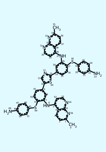 Cc1ccc2c(Nc3cc(-c4cnc(-c5ccc(Sc6ccc(N)cc6)c(Nc6ccnc7nc(C)ccc67)c5)s4)ccc3Sc3ccc(N)cc3)ccnc2n1